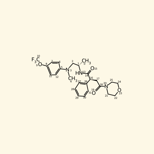 C[C@@H](CN(C)c1ccc(OC(F)(F)F)cc1)NC(=O)[C@@H](CC(=O)N1CCOCC1)c1ccccc1